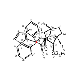 CCN(Cc1sccc1C)C(=O)N1[C@H]2CC[C@@H]1[C@@H](C(=O)O)N(C(=O)N(c1ccccc1)c1ccccc1)C2